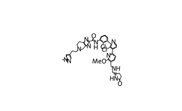 COc1nc(-c2ccnc(-c3cccc(NC(=O)c4nc5c(n4C)CCN(CCc4cnn(C)c4)C5)c3Cl)c2Cl)ccc1CNC[C@H]1CCC(=O)N1